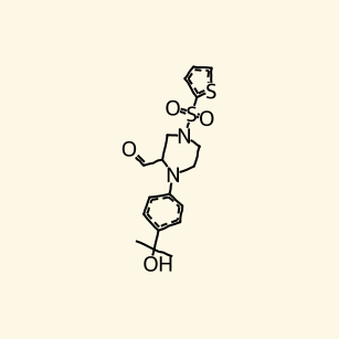 CC(C)(O)c1ccc(N2CCN(S(=O)(=O)c3cccs3)CC2C=O)cc1